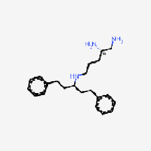 NC[C@@H](N)CCCNC(CCc1ccccc1)CCc1ccccc1